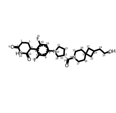 O=C1CCC(c2c(F)cc(N3CC[C@H](C(=O)N4CCC5(CC4)CC(CCO)C5)C3)cc2F)C(=O)N1